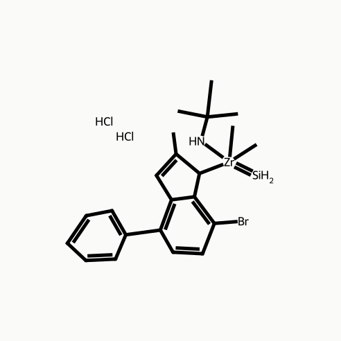 CC1=Cc2c(-c3ccccc3)ccc(Br)c2[CH]1[Zr]([CH3])([CH3])(=[SiH2])[NH]C(C)(C)C.Cl.Cl